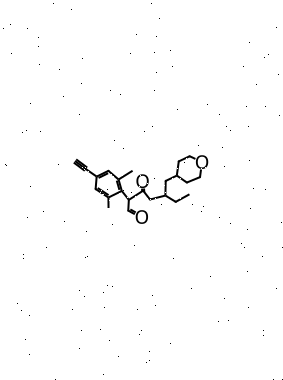 C#Cc1cc(C)c(C(C=O)C(=O)CC(CC)CC2CCOCC2)c(C)c1